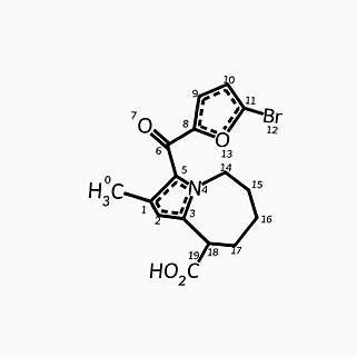 Cc1cc2n(c1C(=O)c1ccc(Br)o1)CCCCC2C(=O)O